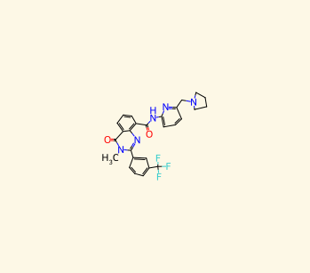 Cn1c(-c2cccc(C(F)(F)F)c2)nc2c(C(=O)Nc3cccc(CN4CCCC4)n3)cccc2c1=O